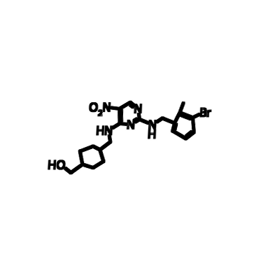 Cc1c(Br)cccc1CNc1ncc([N+](=O)[O-])c(NCC2CCC(CO)CC2)n1